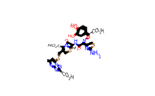 Cc1cc(SCC2=C(C(=O)O)N3C(=O)[C@@H](NC(=O)C(=NO[C@@H](C(=O)O)c4ccc(O)c(O)c4)c4csc(N)n4)[C@H]3SC2)n2nc(C(=O)O)nc2n1